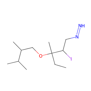 CCC(C)(OCC(C)C(C)C)C(I)CN=N